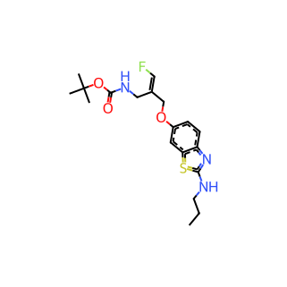 CCCNc1nc2ccc(OC/C(=C/F)CNC(=O)OC(C)(C)C)cc2s1